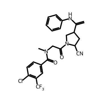 C=C(Nc1ccccc1)C1CC(C#N)N(C(=O)CN(C)C(=O)c2ccc(Cl)c(C(F)(F)F)c2)C1